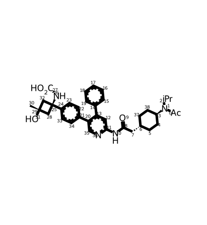 CC(=O)N(C(C)C)[C@H]1CC[C@H](CC(=O)Nc2cc(-c3ccccc3)c(-c3ccc([C@]4(NC(=O)O)C[C@](C)(O)C4)cc3)cn2)CC1